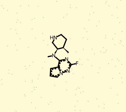 C[C@@H]1CCNC[C@@H]1N(C)c1nc(F)nn2cccc12